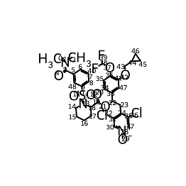 CN(C)C(=O)c1cccc(S(=O)(=O)N2CCCCC2C(=O)OC(Cc2c(Cl)c[n+]([O-])cc2Cl)c2ccc(OC(F)F)c(OCC3CC3)c2)c1